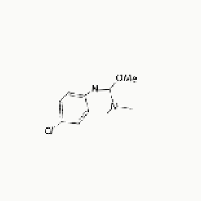 COC(=Nc1ccc(Cl)cc1)N(C)C